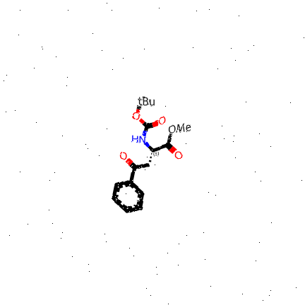 COC(=O)[C@H](CC(=O)c1ccccc1)NC(=O)OC(C)(C)C